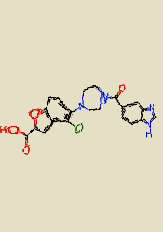 O=C(O)c1cc2c(Cl)c(N3CCN(C(=O)c4ccc5[nH]cnc5c4)CC3)ccc2o1